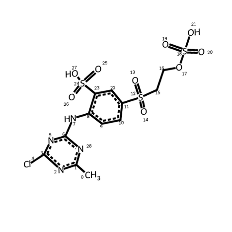 Cc1nc(Cl)nc(Nc2ccc(S(=O)(=O)CCOS(=O)(=O)O)cc2S(=O)(=O)O)n1